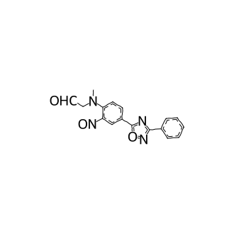 CN(CC=O)c1ccc(-c2nc(-c3ccccc3)no2)cc1N=O